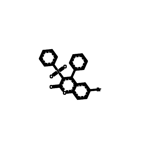 O=c1oc2ccc(Br)cc2c(-c2ccccc2)c1S(=O)(=O)c1ccccc1